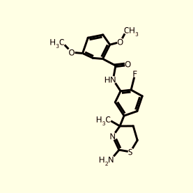 COc1ccc(OC)c(C(=O)Nc2cc(C3(C)CCSC(N)=N3)ccc2F)c1